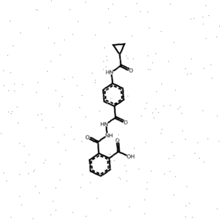 O=C(NNC(=O)c1ccccc1C(=O)O)c1ccc(NC(=O)C2CC2)cc1